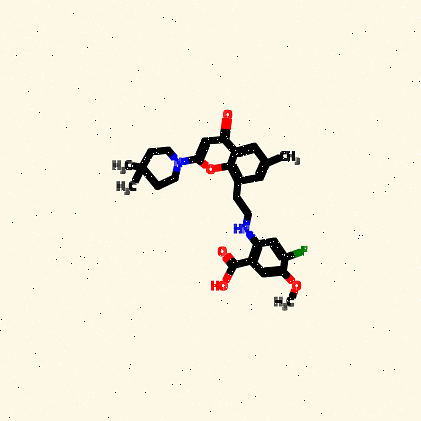 COc1cc(C(=O)O)c(NCCc2cc(C)cc3c(=O)cc(N4CCC(C)(C)CC4)oc23)cc1F